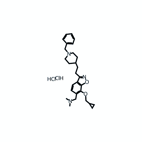 CN(C)Cc1ccc2c(CCC3CCN(Cc4ccccc4)CC3)noc2c1OCC1CC1.Cl.Cl